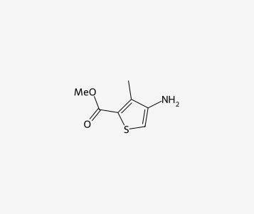 COC(=O)c1scc(N)c1C